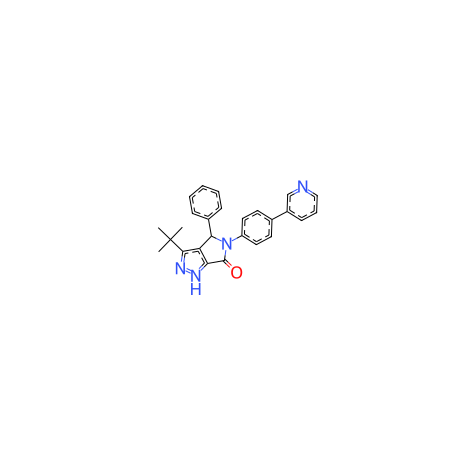 CC(C)(C)c1n[nH]c2c1C(c1ccccc1)N(c1ccc(-c3cccnc3)cc1)C2=O